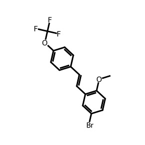 COc1ccc(Br)cc1C=Cc1ccc(OC(F)(F)F)cc1